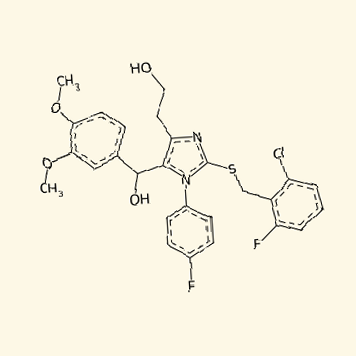 COc1ccc(C(O)c2c(CCO)nc(SCc3c(F)cccc3Cl)n2-c2ccc(F)cc2)cc1OC